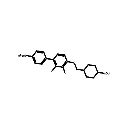 CCCCCCCCC1CCC(COc2ccc(-c3ccc(CCCCC)cc3)c(F)c2F)CC1